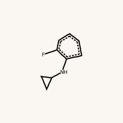 Fc1ccccc1NC1CC1